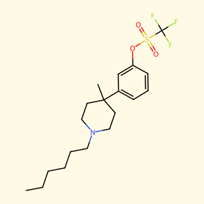 CCCCCCN1CCC(C)(c2cccc(OS(=O)(=O)C(F)(F)F)c2)CC1